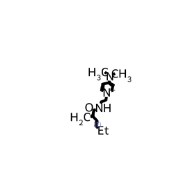 C=C(/C=C/CC)C(=O)NCC[n+]1ccc(N(C)C)cc1